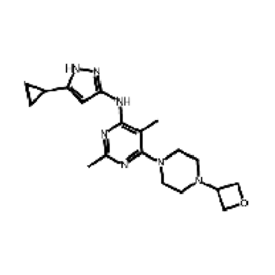 Cc1nc(Nc2cc(C3CC3)[nH]n2)c(C)c(N2CCN(C3COC3)CC2)n1